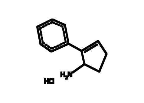 Cl.NC1CCC=C1c1ccccc1